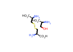 N[C@@H](CO)C(=O)O.N[C@@H](CSSC[C@H](N)C(=O)O)C(=O)O